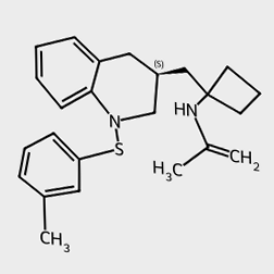 C=C(C)NC1(C[C@@H]2Cc3ccccc3N(Sc3cccc(C)c3)C2)CCC1